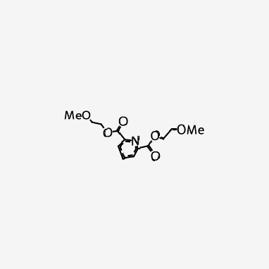 COCCOC(=O)c1cccc(C(=O)OCCOC)n1